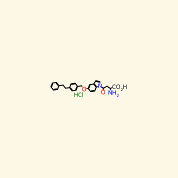 Cl.NC(CC(=O)n1ccc2cc(OCc3ccc(CCc4ccccc4)cc3)ccc21)C(=O)O